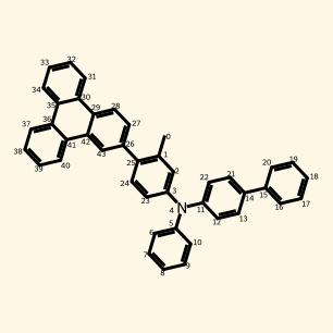 Cc1cc(N(c2ccccc2)c2ccc(-c3ccccc3)cc2)ccc1-c1ccc2c3ccccc3c3ccccc3c2c1